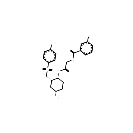 CSc1ccc(S(=O)(=O)C[C@@H]2C[C@H](NC(C)=O)CC[C@@H]2NC(=O)CNC(=O)c2cccc(C(F)(F)F)c2)cc1